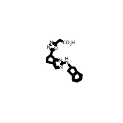 O=C(O)Cc1nnc(C2CCc3cnc(NC4Cc5ccccc5C4)nc32)o1